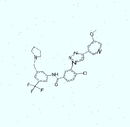 COc1cncc(-c2cn(-c3cc(C(=O)Nc4cc(CN5CCCC5)cc(C(F)(F)F)c4)ccc3Cl)nn2)c1